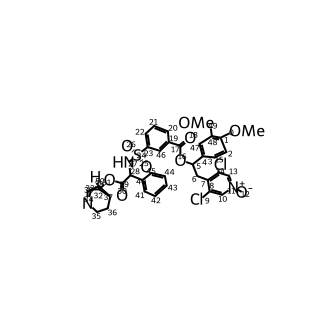 COc1ccc(C(Cc2c(Cl)c[n+]([O-])cc2Cl)OC(=O)c2cccc(S(=O)(=O)NC(C(=O)O[C@H]3CN4CCC3CC4)c3ccccc3)c2)cc1OC